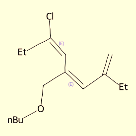 C=C(/C=C(\C=C(\Cl)CC)COCCCC)CC